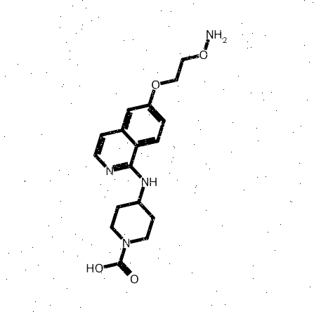 NOCCOc1ccc2c(NC3CCN(C(=O)O)CC3)nccc2c1